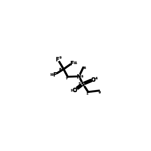 CCS(=O)(=O)N(C)CC(F)(F)F